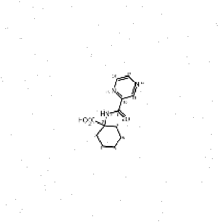 O=C(NC1(C(=O)O)CCCCC1)c1cnccn1